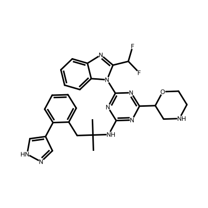 CC(C)(Cc1ccccc1-c1cn[nH]c1)Nc1nc(C2CNCCO2)nc(-n2c(C(F)F)nc3ccccc32)n1